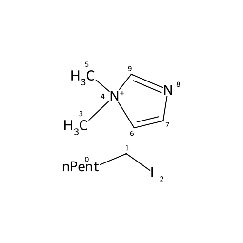 CCCCCCI.C[N+]1(C)C=CN=C1